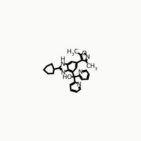 Cc1noc(C)c1-c1cc(C(O)(c2ccccn2)c2ccccn2)c2nc(C3CCCCC3)[nH]c2c1